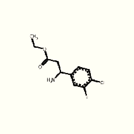 CCOC(=O)CC(N)c1ccc(Cl)c(F)c1